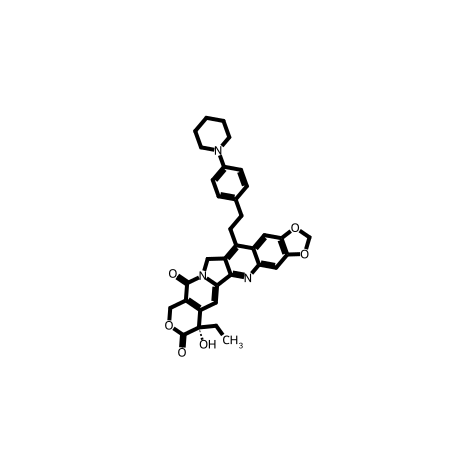 CC[C@@]1(O)C(=O)OCc2c1cc1n(c2=O)Cc2c-1nc1cc3c(cc1c2CCc1ccc(N2CCCCC2)cc1)OCO3